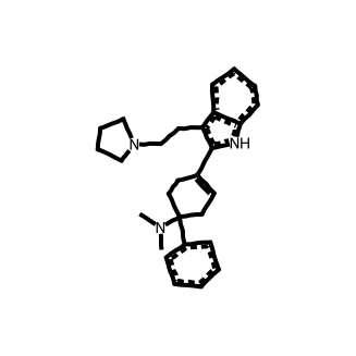 CN(C)C1(c2ccccc2)CC=C(c2[nH]c3ccccc3c2CCN2CCCC2)CC1